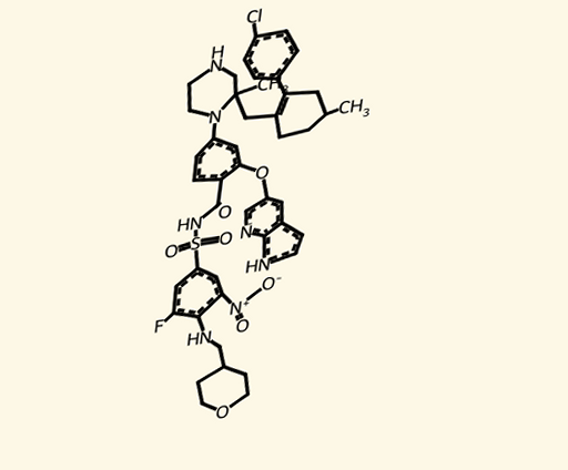 CC1CCC(CC2(C)CNCCN2c2ccc(C(=O)NS(=O)(=O)c3cc(F)c(NCC4CCOCC4)c([N+](=O)[O-])c3)c(Oc3cnc4[nH]ccc4c3)c2)=C(c2ccc(Cl)cc2)C1